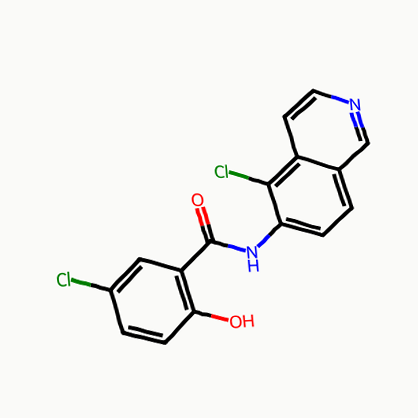 O=C(Nc1ccc2cnccc2c1Cl)c1cc(Cl)ccc1O